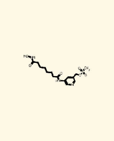 CS(=O)(=O)OCc1cncc(NC(=O)CCCCCCC(=O)NO)c1